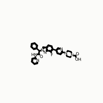 O=C(Nc1ccccn1)C(c1ccccc1)n1cc2ccc(-c3ccc(N4CCN(C(=O)O)CC4)nc3)c(F)c2n1